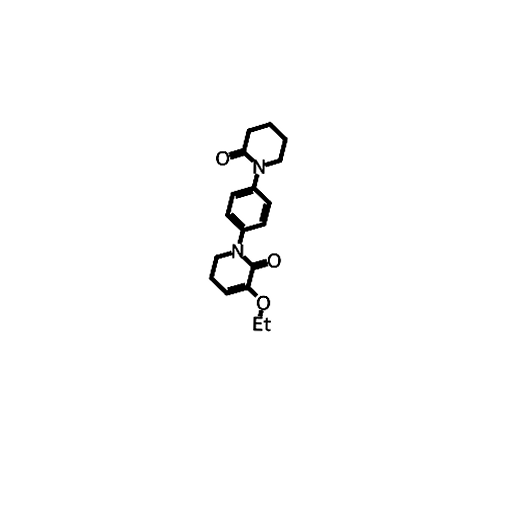 CCOC1=CCCN(c2ccc(N3CCCCC3=O)cc2)C1=O